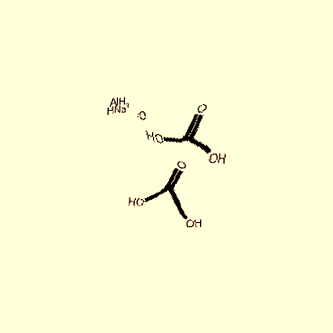 O=C(O)O.O=C(O)O.[AlH3].[NaH].[O]